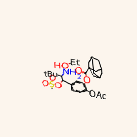 CC(=O)Oc1ccc(C(OS(C)(=O)=O)C(N)C(C)(C)C)cc1OC(=O)C12CC3CC(CC(C3)C1)C2.CCO